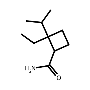 CCC1(C(C)C)CCC1C(N)=O